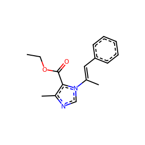 CCOC(=O)c1c(C)ncn1C(C)=Cc1ccccc1